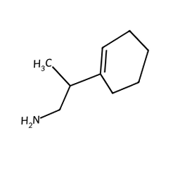 CC(CN)C1=CCCCC1